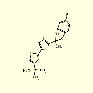 CC(C)(C)c1cc(-c2nnc(C(C)(C)Sc3ccc(F)cc3)o2)on1